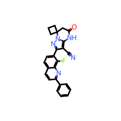 N#Cc1c(-c2ccc3ccc(-c4ccccc4)nc3c2F)nn2c1NC(=O)CC21CCC1